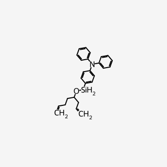 C=CCCC(CC=C)O[SiH2]c1ccc(N(c2ccccc2)c2ccccc2)cc1